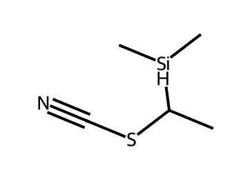 CC(SC#N)[SiH](C)C